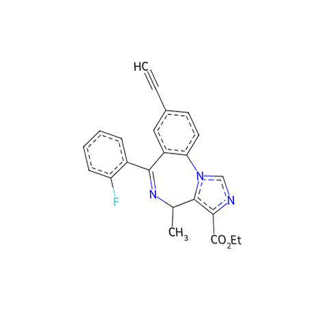 C#Cc1ccc2c(c1)C(c1ccccc1F)=NC(C)c1c(C(=O)OCC)ncn1-2